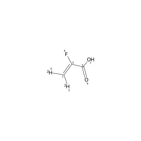 [2H]C([2H])=C(F)C(=O)O